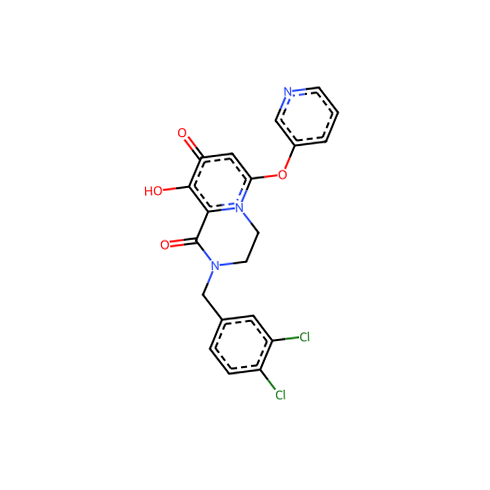 O=C1c2c(O)c(=O)cc(Oc3cccnc3)n2CCN1Cc1ccc(Cl)c(Cl)c1